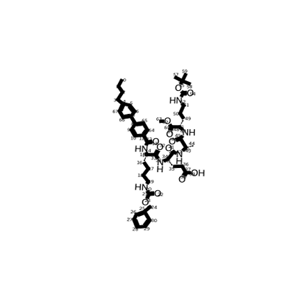 CCCCc1ccc(-c2ccc(C(=O)N[C@@H](CCCCNC(=O)OCc3ccccc3)C(=O)N[C@@H](CCC(=O)O)C(=O)N[C@@H](C)C(=O)N[C@@H](CCCNC(=O)OC(C)(C)C)C(=O)OC)cc2)cc1